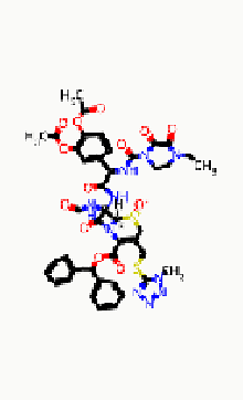 CCN1CCN(C(=O)NC(C(=O)N[C@]2(NC=O)C(=O)N3C(C(=O)OC(c4ccccc4)c4ccccc4)=C(CSc4nnnn4C)C[S+]([O-])[C@H]32)c2ccc(OC(C)=O)c(OC(C)=O)c2)C(=O)C1=O